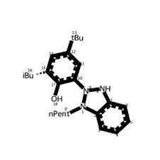 CCCCCN1c2ccccc2NN1c1cc(C(C)(C)C)cc([C@@H](C)CC)c1O